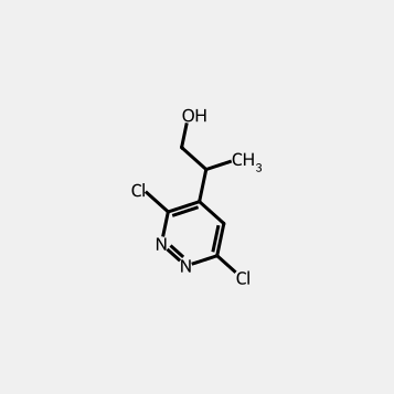 CC(CO)c1cc(Cl)nnc1Cl